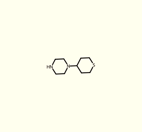 C1CN(C2CCSCC2)CCN1